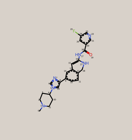 CN1CCC(n2cnc(-c3ccc4c(c3)C=C(NC(=O)c3cncc(F)c3)NC4)c2)CC1